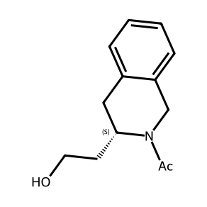 CC(=O)N1Cc2ccccc2C[C@H]1CCO